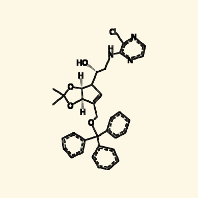 CC1(C)O[C@@H]2C(COC(c3ccccc3)(c3ccccc3)c3ccccc3)=CC([C@H](O)CNc3nccnc3Cl)[C@@H]2O1